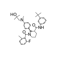 Cc1cccc(F)c1C(=O)N1CCCC(C(=O)Nc2cccc(C(C)(C)C)c2)[C@@H]1c1ccc(N(C)CC(C)(C)O)cc1